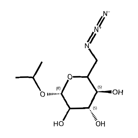 CC(C)O[C@@H]1OC(CN=[N+]=[N-])[C@@H](O)[C@H](O)C1O